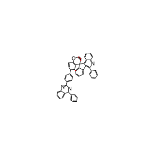 c1ccc(-c2nc3ccccc3c3c2-c2ccccc2C32c3ccccc3Oc3ccc(-c4ccc(-c5nc(-c6ccccc6)c6ccccc6n5)cc4)cc32)cc1